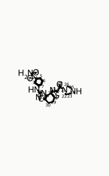 NS(=O)(=O)c1cccc(Nc2ncc3c(n2)-c2nc(C(=O)N4CCNCC4)sc2CC3)c1